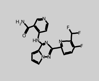 NC(=O)c1cnccc1Nc1nc(-c2ccc(F)c(C(F)F)n2)nn2cccc12